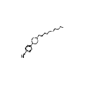 CCCCCCCCCCC1CCC(c2ccc(C#N)cc2)CC1